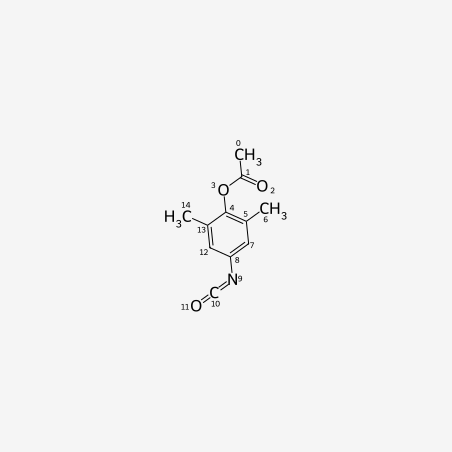 CC(=O)Oc1c(C)cc(N=C=O)cc1C